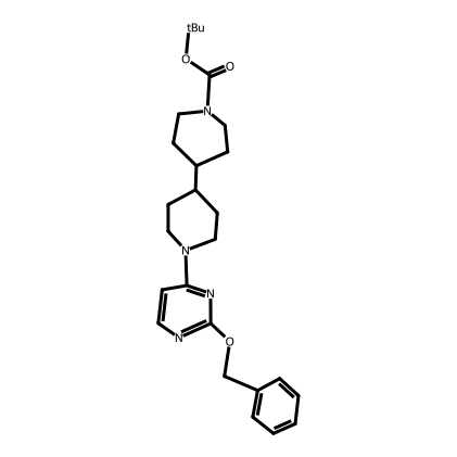 CC(C)(C)OC(=O)N1CCC(C2CCN(c3ccnc(OCc4ccccc4)n3)CC2)CC1